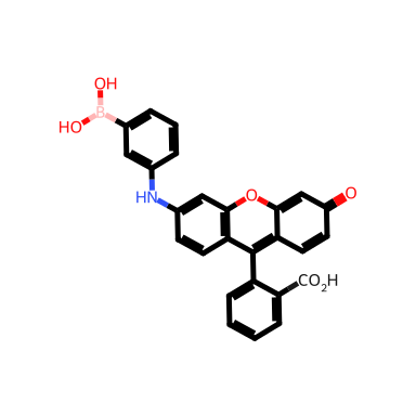 O=C(O)c1ccccc1-c1c2ccc(=O)cc-2oc2cc(Nc3cccc(B(O)O)c3)ccc12